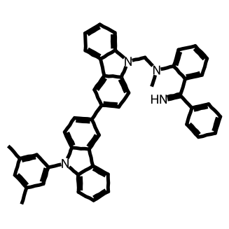 Cc1cc(C)cc(-n2c3ccccc3c3cc(-c4ccc5c(c4)c4ccccc4n5CN(C)c4ccccc4C(=N)c4ccccc4)ccc32)c1